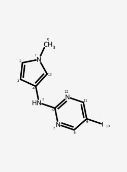 Cn1ccc(Nc2ncc(I)cn2)c1